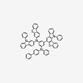 c1ccc(-c2ccc(N(c3ccccc3)c3cc(-c4cc5c6ccccc6n(-c6ccccc6)c5c5c4sc4ccccc45)cc(N(c4ccc5c(c4)sc4ccccc45)c4ccc5c6ccccc6n(-c6ccccc6)c5c4)c3)cc2)cc1